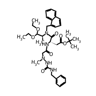 CCOC(OCC)[C@H](C)N(Cc1cccc2ccccc12)C(=O)[C@H](CC(=O)OC(C)(C)C)NC(=O)CN(C)NC(=O)NCc1ccccc1